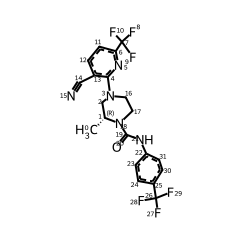 C[C@@H]1CN(c2nc(C(F)(F)F)ccc2C#N)CCN1C(=O)Nc1ccc(C(F)(F)F)cc1